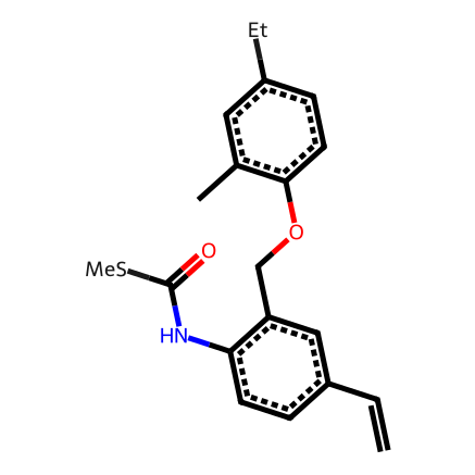 C=Cc1ccc(NC(=O)SC)c(COc2ccc(CC)cc2C)c1